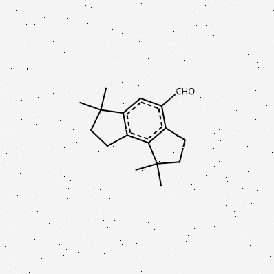 CC1(C)CCc2c1cc(C=O)c1c2C(C)(C)CC1